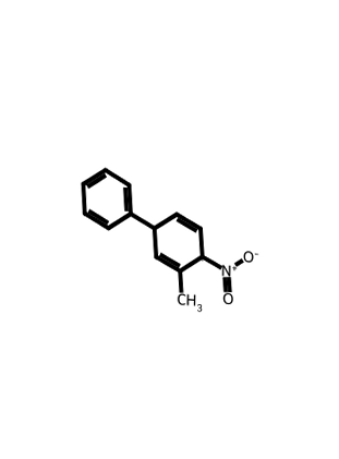 CC1=CC(c2ccccc2)C=C[C]1[N+](=O)[O-]